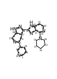 c1cncc(-c2cc3c(-c4nc5c(N6CCCCC6)nccc5[nH]4)n[nH]c3cn2)c1